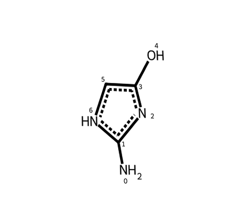 Nc1nc(O)c[nH]1